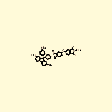 CC(C)(C)c1ccc(C2(c3ccc(N4C(=O)c5ccc(Oc6ccc7c(c6)C(=O)N(C(C)(C)C)C7=O)cc5C4=O)cc3)c3cc(O)ccc3-c3ccc(O)cc32)cc1